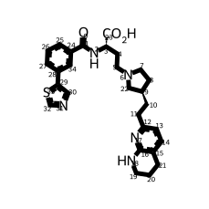 O=C(N[C@@H](CCN1CC[C@@H](CCc2ccc3c(n2)NCCC3)C1)C(=O)O)c1cccc(-c2cncs2)c1